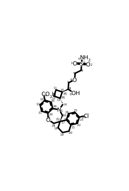 NS(=O)(=O)CCOCC(O)[C@@H]1CC[C@H]1CN1C[C@@]2(CCCc3cc(Cl)ccc32)COc2ccc(C(=O)O)cc21